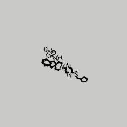 CC(C)(C)OC(=O)N[C@@H]1c2ccccc2CC12CCN(c1cnc(SCC3CCCC3)cn1)CC2